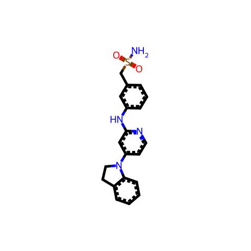 NS(=O)(=O)Cc1cccc(Nc2cc(N3CCc4ccccc43)ccn2)c1